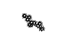 c1cnc(-c2ccc(-c3ccc4cc(-c5ccc6c7c(cccc57)-c5ccccc5-6)c5cccnc5c4n3)c3ccccc23)nc1